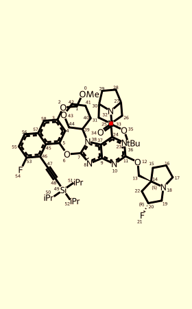 COCOc1cc(Oc2nc3nc(OC[C@@]45CCCN4C[C@H](F)C5)nc(N4CC5CCC(C4)N5C(=O)OC(C)(C)C)c3n2C2CCCOC2)c2c(C#C[Si](C(C)C)(C(C)C)C(C)C)c(F)ccc2c1